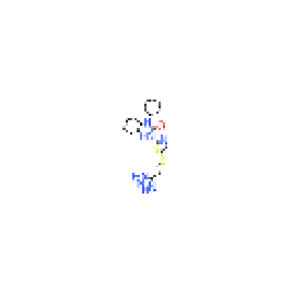 O=C(Nc1ncc(SCCc2nnn[nH]2)s1)N(C1CCCCC1)C1CCCCC1